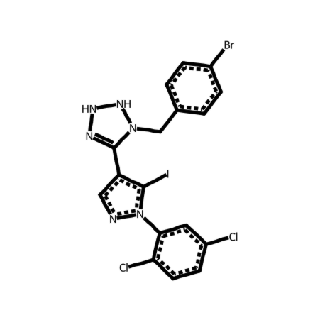 Clc1ccc(Cl)c(-n2ncc(C3=NNNN3Cc3ccc(Br)cc3)c2I)c1